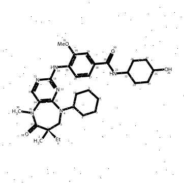 CC[C@]1(C)CN(C2CCCCC2)c2nc(Nc3ccc(C(=O)NC4CCC(O)CC4)cc3OC)ncc2N(C)C1=O